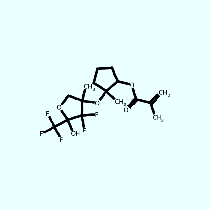 C=C(C)C(=O)OC1CCCC1(C)OC1(C)COC(O)(C(F)(F)F)C1(F)F